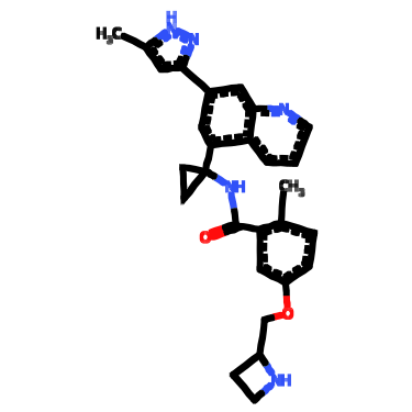 Cc1cc(-c2cc(C3(NC(=O)c4cc(OCC5CCN5)ccc4C)CC3)c3cccnc3c2)n[nH]1